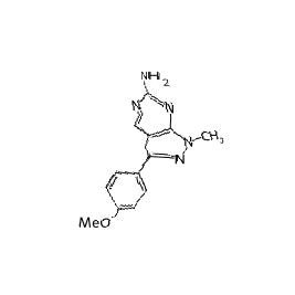 COc1ccc(-c2nn(C)c3nc(N)ncc23)cc1